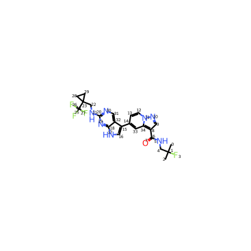 CC(C)(F)CNC(=O)c1cnn2ccc(-c3c[nH]c4nc(NCC5(C(F)(F)F)CC5)ncc34)cc12